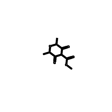 COC(=O)C1C(=O)C(C)ON(C)C1=O